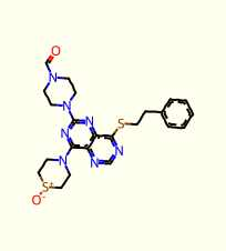 O=CN1CCN(c2nc(N3CC[S+]([O-])CC3)c3ncnc(SCCc4ccccc4)c3n2)CC1